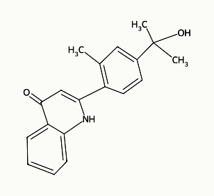 Cc1cc(C(C)(C)O)ccc1-c1cc(=O)c2ccccc2[nH]1